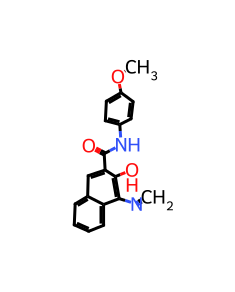 C=Nc1c(O)c(C(=O)Nc2ccc(OC)cc2)cc2ccccc12